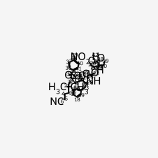 CC(C)(CCCC#N)CN(C[C@H](O)[C@H](Cc1ccccc1)NC(=O)O[C@@H]1CO[C@@H]2OCC[C@@H]21)S(=O)(=O)c1ccc([N+](=O)[O-])cc1